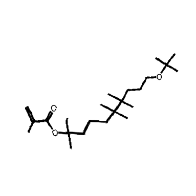 C=C(C)C(=O)OC(C)(C)CCCC(C)(C)C(C)(C)CCCOC(C)(C)C